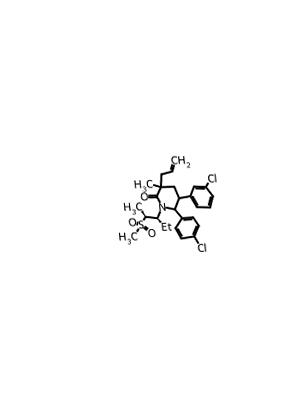 C=CCC1(C)CC(c2cccc(Cl)c2)C(c2ccc(Cl)cc2)N([C@@H](CC)[C@H](C)S(C)(=O)=O)C1=O